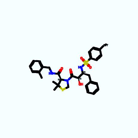 CCCc1ccc(S(=O)(=O)N[C@@H](Cc2ccccc2)[C@H](O)C(=O)N2CSC(C)(C)[C@H]2C(=O)NCc2ccccc2C)cc1